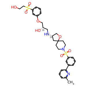 Cc1cccc(-c2cccc(S(=O)(=O)N3CCC4(CC3)C[C@H](NC[C@H](O)COc3cccc(S(=O)(=O)CCO)c3)CO4)c2)n1